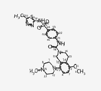 COc1ccc(N2CCN(C)CC2)c2c1CCN(C(=O)Nc1ccc(S(=O)(=O)Nc3nnc(C)s3)cc1)C2